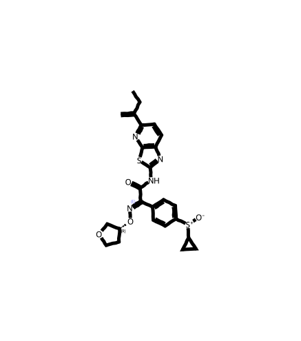 C=C(CC)c1ccc2nc(NC(=O)/C(=N/O[C@@H]3CCOC3)c3ccc([S+]([O-])C4CC4)cc3)sc2n1